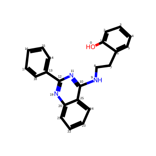 Oc1ccccc1CCNc1nc(-c2ccccc2)nc2ccccc12